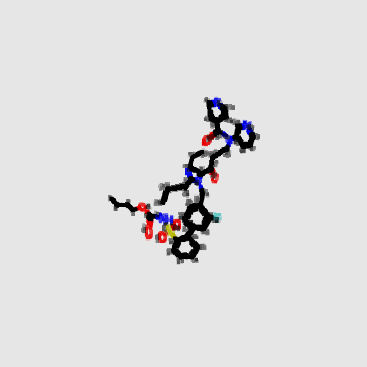 CCCCOC(=O)NS(=O)(=O)c1ccccc1-c1ccc(Cn2c(CCC)nc(CC)c2C(=O)CCN(C(=O)c2ccncc2)c2cccnc2)c(F)c1